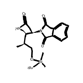 C[C@H](CO[Si](C)(C)C(C)(C)C)[C@H]1NC(=O)[C@H]1N1C(=O)c2ccccc2C1=O